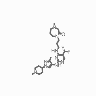 Cc1nn(C2CCN(C)CC2)cc1Nc1ncc(C(F)F)c(NCCCN2CCCN(C)CC2=O)n1